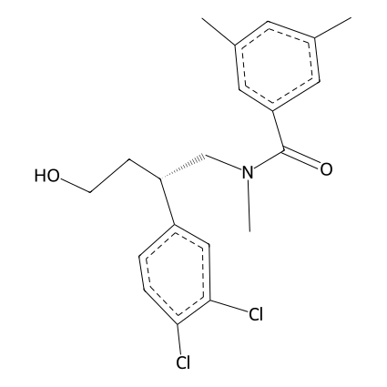 Cc1cc(C)cc(C(=O)N(C)C[C@@H](CCO)c2ccc(Cl)c(Cl)c2)c1